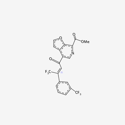 COC(=O)c1ncc(C(=O)/C=C(/c2cccc(C(F)(F)F)c2)C(F)(F)F)c2ccoc12